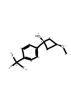 CO[C@H]1C[C@](O)(c2ccc(C(F)(F)F)cc2)C1